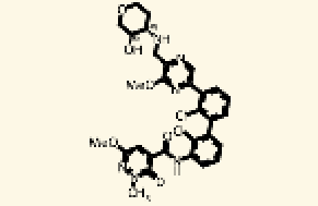 COc1cc(C(=O)Nc2cccc(-c3cccc(-c4cnc(CN[C@@H]5CCOC[C@@H]5O)c(OC)n4)c3Cl)c2Cl)c(=O)n(C)n1